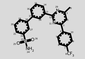 Cc1cc(-c2ccc(C(F)(F)F)cc2)nc(-c2cccc(-c3cccc(S(N)(=O)=O)c3)c2)n1